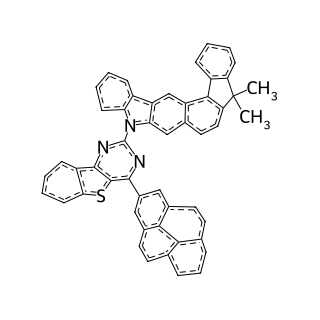 CC1(C)c2ccccc2-c2c1ccc1cc3c(cc21)c1ccccc1n3-c1nc(-c2cc3ccc4cccc5ccc(c2)c3c45)c2sc3ccccc3c2n1